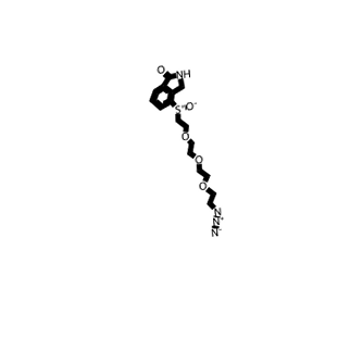 [N-]=[N+]=NCCOCCOCCOCC[S+]([O-])c1cccc2c1CNC2=O